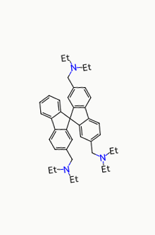 CCN(CC)Cc1ccc2c(c1)C1(c3ccccc3-2)c2cc(CN(CC)CC)ccc2-c2ccc(CN(CC)CC)cc21